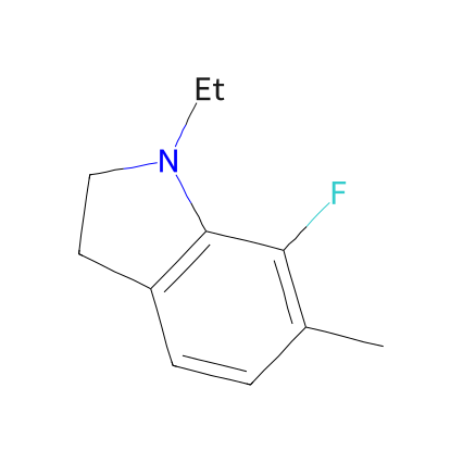 CCN1CCc2ccc(C)c(F)c21